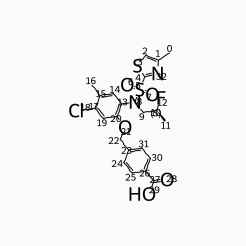 Cc1csc(S(=O)(=O)N(C[C@H](C)F)c2cc(C)c(Cl)cc2OCc2ccc(C(=O)O)cc2)n1